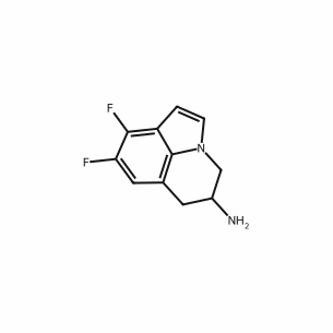 NC1Cc2cc(F)c(F)c3ccn(c23)C1